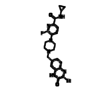 CCc1nc2ccc(CN3CCN(c4ccc(C(=O)NC5CC5)nc4F)CC3)cc2[nH]c1=O